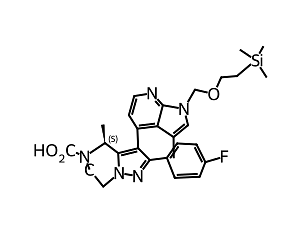 Cc1cn(COCC[Si](C)(C)C)c2nccc(-c3c(-c4ccc(F)cc4)nn4c3[C@H](C)N(C(=O)O)CC4)c12